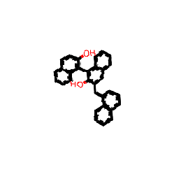 Oc1ccc2ccccc2c1-c1c(O)c(Cc2cccc3ccccc23)cc2ccccc12